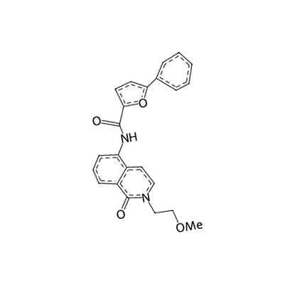 COCCn1ccc2c(NC(=O)c3ccc(-c4ccccc4)o3)cccc2c1=O